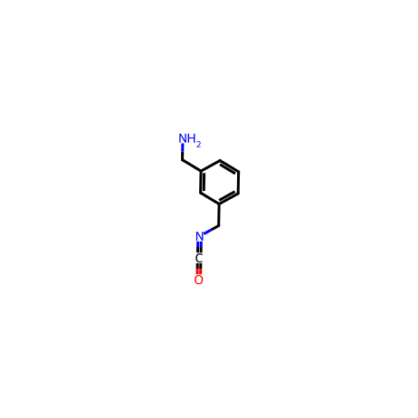 NCc1cccc(CN=C=O)c1